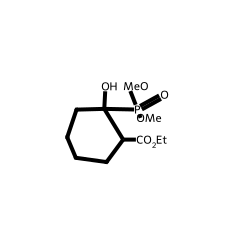 CCOC(=O)C1CCCCC1(O)P(=O)(OC)OC